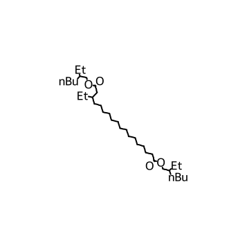 CCCCC(CC)COC(=O)CCCCCCCCCCCCCCC(CC)CC(=O)OCC(CC)CCCC